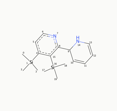 C[Si](C)(C)c1ccnc(C2C=CC=CN2)c1[Si](C)(C)C